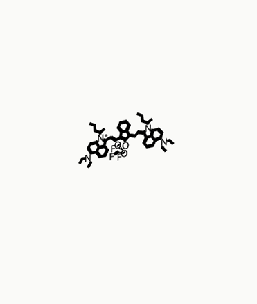 CCCC(C)n1/c(=C/C=C2C(OS(=O)(=O)C(F)(F)F)=C(/C=C/C3=[N+](C(C)CCC)c4ccc(N(CC)CC)c5cccc3c45)c3ccccc3/2)c2cccc3c(N(CC)CC)ccc1c32